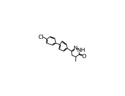 CC1CC(c2ccc(-c3ccc(Cl)cc3)cc2)=NNC1=O